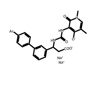 CC(=O)c1ccc(-c2cccc(C(CC(=O)[O-])NC(=O)Nc3c([O-])c(C)cn(C)c3=O)c2)cc1.[Na+].[Na+]